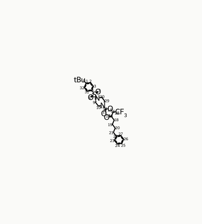 CC(C)(C)c1ccc(S(=O)(=O)N2CCN(C(=O)OC(C(=O)CCCCc3ccccc3)C(F)(F)F)CC2)cc1